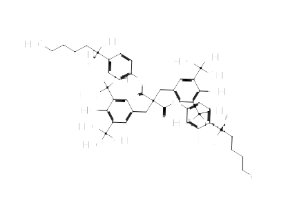 CCCCCC(C)(C)c1ccc(OC(=O)C(Cc2cc(C(C)(C)C)c(O)c(C(C)(C)C)c2)(Cc2cc(C(C)(C)C)c(O)c(C(C)(C)C)c2)C(=O)Oc2ccc(C(C)(C)CCCCC)cc2)cc1